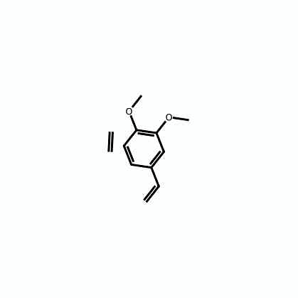 C=C.C=Cc1ccc(OC)c(OC)c1